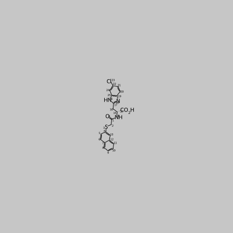 O=C(CSc1ccc2ccccc2c1)N[C@H](Cc1nc2ccc(Cl)cc2[nH]1)C(=O)O